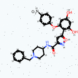 O=C(NC1CCN(Cc2ccccc2)CC1)c1cc(-c2c(O)cc(O)cc2Oc2ccc([N+](=O)[O-])cc2)on1